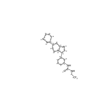 O=C(NCC(F)(F)F)Nc1cccc(-c2cnc3cc(-c4cccnn4)ccn23)c1